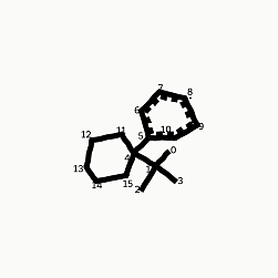 CC(C)(C)C1(c2cc[c]cc2)CCCCC1